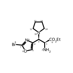 CCOC(=O)[C@@H](N)[C@@H](c1coc(Br)n1)N1CCCC1